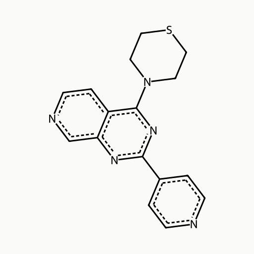 c1cc(-c2nc(N3CCSCC3)c3ccncc3n2)ccn1